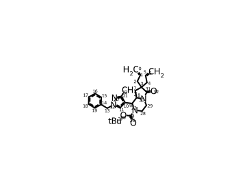 C=CCC1(CC=C)CC2C(c3cn(Cc4ccccc4)nc3C)N(C(=O)OC(C)(C)C)CCN2C1=O